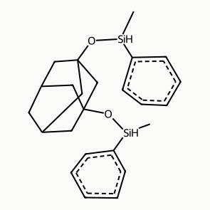 C[SiH](OC12CC3CC(C1)CC(O[SiH](C)c1ccccc1)(C3)C2)c1ccccc1